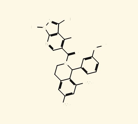 COc1cc2c(c(OC)c1)C(c1cccc(OC(F)(F)F)c1)N(C(=O)c1cnc3c(c(C)nn3C)c1Cl)CC2